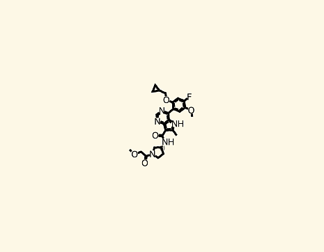 COCC(=O)N1CC[C@@H](NC(=O)c2c(C)[nH]c3c(-c4cc(OC)c(F)cc4OCC4CC4)ncnc23)C1